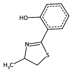 CC1CSC(c2ccccc2O)=N1